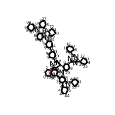 c1ccc(-c2cc(-c3cc(-c4nc(-c5ccccc5)nc(-c5ccccc5)n4)ccc3-n3c4ccccc4c4cc5c6ccccc6n(-c6ccccc6)c5cc43)nc(-c3ccc(-c4ccc(N5c6ccccc6B6c7ccccc7N(c7ccccc7)c7cccc5c76)cc4)cc3)n2)cc1